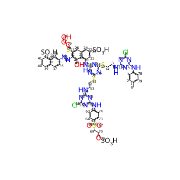 Cc1ccc(Nc2nc(Cl)nc(NCCSc3nc(Nc4cc(S(=O)(=O)O)cc5cc(SOOO)c(/N=N/c6ccc7ccccc7c6S(=O)(=O)O)c(O)c45)nc(SCCNc4nc(Cl)nc(Nc5ccc(S(=O)(=O)CCOS(=O)(=O)O)cc5)n4)n3)n2)cc1